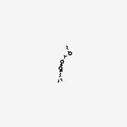 COCC(O)COc1ccccc1OCC(O)COc1ccc(C(C)(C)c2ccc3c(c2)CC3(C)OCC(O)CN(CCO)CCO)cc1